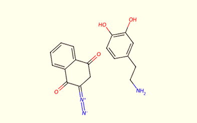 NCCc1ccc(O)c(O)c1.[N-]=[N+]=C1CC(=O)c2ccccc2C1=O